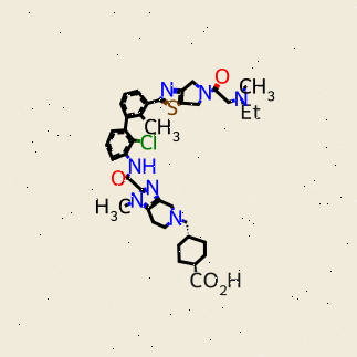 CCN(C)CC(=O)N1Cc2nc(-c3cccc(-c4cccc(NC(=O)c5nc6c(n5C)CCN(C[C@H]5CC[C@H](C(=O)O)CC5)C6)c4Cl)c3C)sc2C1